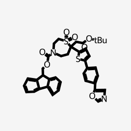 CC(C)(C)OC(=O)CC1(c2ccc(-c3ccc(-c4cnco4)cc3)s2)CCN(C(=O)OCC2c3ccccc3-c3ccccc32)CCS1(=O)=O